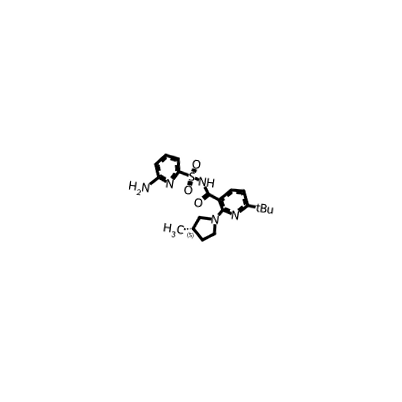 C[C@H]1CCN(c2nc(C(C)(C)C)ccc2C(=O)NS(=O)(=O)c2cccc(N)n2)C1